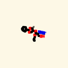 C=CCO[C@@H](OC1COC(c2ccccc2)O[C@@H]1C)[C@H](CO)N=[N+]=[N-]